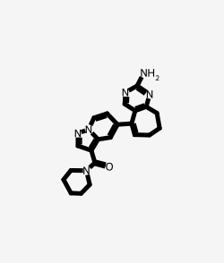 Nc1ncc2c(n1)CCCC=C2c1ccn2ncc(C(=O)N3CCCCC3)c2c1